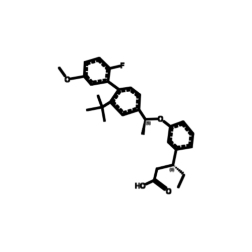 CC[C@H](CC(=O)O)c1cccc(O[C@@H](C)c2ccc(-c3cc(OC)ccc3F)c(C(C)(C)C)c2)c1